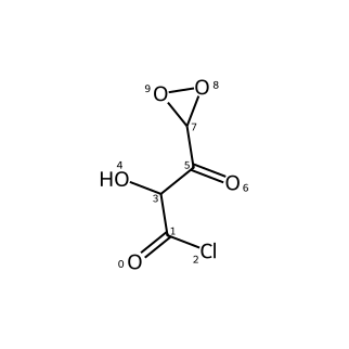 O=C(Cl)C(O)C(=O)C1OO1